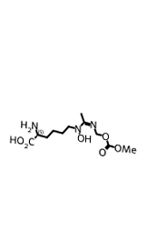 COC(=O)OCN=C(C)N(O)CCCC[C@H](N)C(=O)O